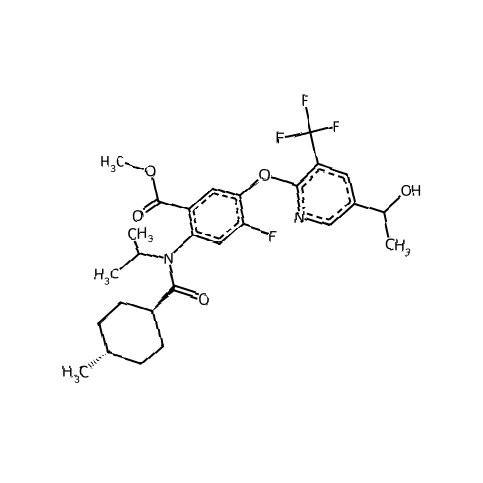 COC(=O)c1cc(Oc2ncc(C(C)O)cc2C(F)(F)F)c(F)cc1N(C(=O)[C@H]1CC[C@H](C)CC1)C(C)C